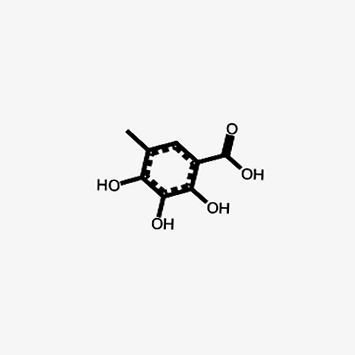 Cc1cc(C(=O)O)c(O)c(O)c1O